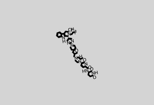 C[C@@H]1Cc2c([nH]c3ccccc23)[C@@H](c2cnc(N3CCC4(CC3)CC(CN3CCN5c6ccc(C(=O)N[C@H]7CCC(=O)NC7=O)nc6OC[C@H]5C3)CO4)nc2)N1CC(F)F